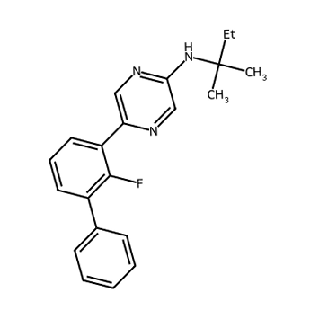 CCC(C)(C)Nc1cnc(-c2cccc(-c3ccccc3)c2F)cn1